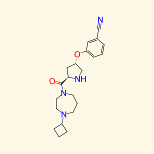 N#Cc1cccc(O[C@@H]2CN[C@@H](C(=O)N3CCCN(C4CCC4)CC3)C2)c1